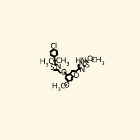 COc1cc(OCc2csc(C(C)(C)c3ccc(Cl)cc3)n2)c2cc(-c3cn4c(n3)SC(OC)N4)oc2c1